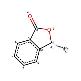 CC(C)[C@H]1OC(=O)c2ccccc21